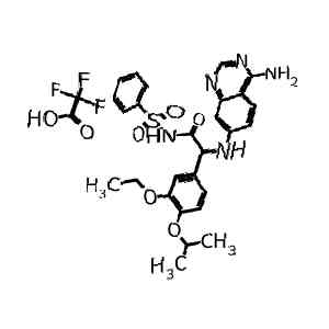 CCOc1cc(C(Nc2ccc3c(N)ncnc3c2)C(=O)NS(=O)(=O)c2ccccc2)ccc1OC(C)C.O=C(O)C(F)(F)F